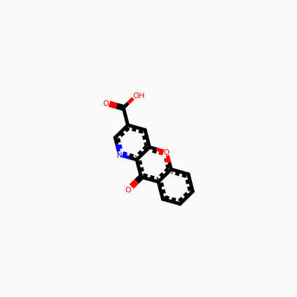 O=C(O)c1cnc2c(=O)c3ccccc3oc2c1